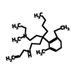 C=CCNCCC(CCCC)(CCN(C)CC)C1=C(CC)CCC=C1C